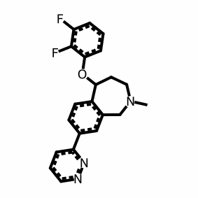 CN1CCC(Oc2cccc(F)c2F)c2ccc(-c3cccnn3)cc2C1